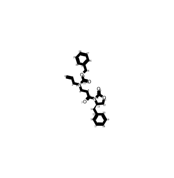 C=CCN(CCC(=O)N1C(=O)OC[C@H]1Cc1ccccc1)C(=O)OCc1ccccc1